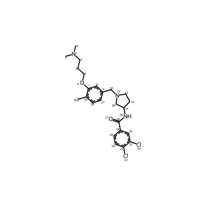 CN(C)CCCOc1cc(CN2CCC(NC(=O)c3ccc(Cl)c(Cl)c3)C2)ccc1I